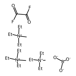 CC[N+](C)(CC)CC.CC[N+](C)(CC)CC.CC[N+](C)(CC)CC.O=C(F)C(=O)F.[O-]B([O-])[O-]